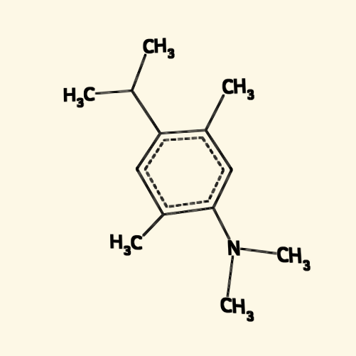 Cc1cc(N(C)C)c(C)cc1C(C)C